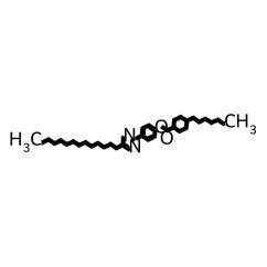 CCCCCCCCCCCCCCc1cnc(-c2ccc(OC(=O)C3CCC(CCCCCCC)CC3)cc2)nc1